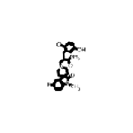 CN1C(=O)C2(CCN(CC(Cc3cc(O)ccc3Cl)C(N)=O)CC2)c2cc(F)ccc21